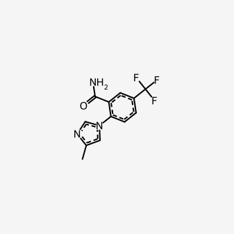 Cc1cn(-c2ccc(C(F)(F)F)cc2C(N)=O)cn1